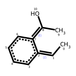 C/C=c1/cccc/c1=C(/C)O